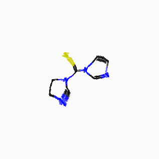 S=C(N1C=NCC1)n1ccnc1